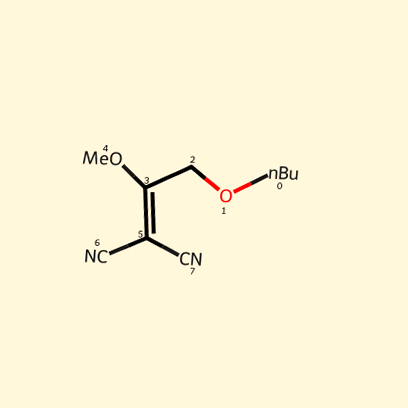 CCCCOCC(OC)=C(C#N)C#N